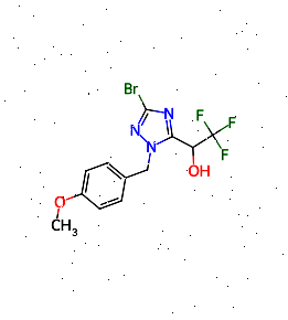 COc1ccc(Cn2nc(Br)nc2C(O)C(F)(F)F)cc1